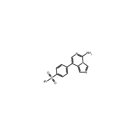 CC(C)S(=O)(=O)c1ccc(-c2cnc(N)n3cncc23)cc1